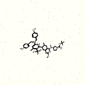 COc1ccc(CN(Cc2ccc(OC)cc2)c2cc(C)c(C(F)(F)F)c(C3Cc4nc(SC)nc(N(C)[C@@H]5CCN(C(=O)OC(C)(C)C)C5)c4CC3C)n2)cc1